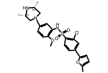 COc1ccc(N2C[C@@H](C)N[C@@H](C)C2)cc1NS(=O)(=O)c1ccc(-c2ccc(C)o2)cc1Cl